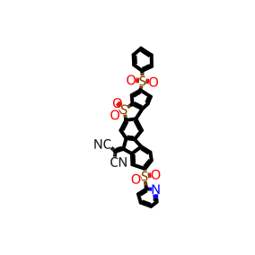 N#CC(C#N)=C1c2cc(S(=O)(=O)c3ccccn3)ccc2-c2cc3c(cc21)S(=O)(=O)c1cc(S(=O)(=O)c2ccccc2)ccc1-3